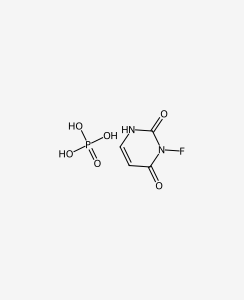 O=P(O)(O)O.O=c1cc[nH]c(=O)n1F